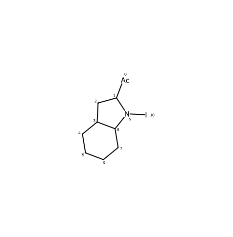 CC(=O)C1CC2CCCCC2N1I